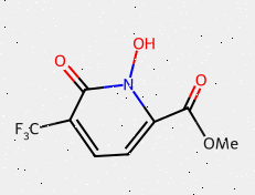 COC(=O)c1ccc(C(F)(F)F)c(=O)n1O